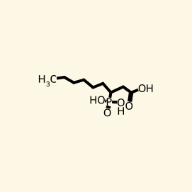 CCCCCCC(CC(=O)O)P(=O)(O)O